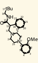 COc1ccccc1N1CCN(CC(C(=O)NCC(C)(C)C)c2ccccc2)CC1